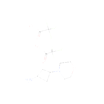 NC1CC(N2CCOCC2)C1.O=C(O)C(F)(F)F.O=C(O)C(F)(F)F